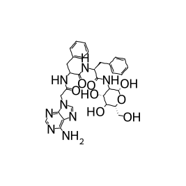 Nc1ncnc2c1ncn2CC(=O)NC(Cc1ccccc1)C(=O)N[C@@H](Cc1ccccc1)C(=O)NC1[C@@H](O)C(O)[C@@H](CO)O[C@H]1O